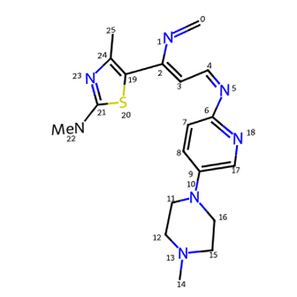 C=N/C(=C\C=N/c1ccc(N2CCN(C)CC2)cn1)c1sc(NC)nc1C